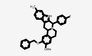 COc1cc2c(cc1OCc1ccccc1)C1Cc3c([nH]c4cc(C)ccc34)C(c3ccc(F)cc3)N1CC2